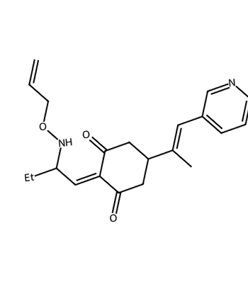 C=CCONC(C=C1C(=O)CC(C(C)=Cc2cccnc2)CC1=O)CC